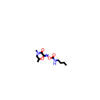 CCCCNC(=O)ON=C1OC(C)CN(C)C1=O